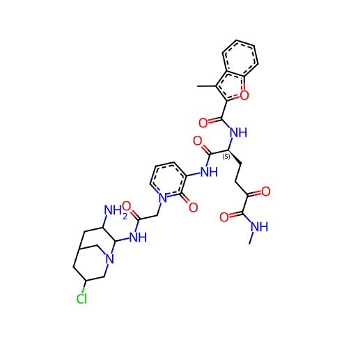 CNC(=O)C(=O)CC[C@H](NC(=O)c1oc2ccccc2c1C)C(=O)Nc1cccn(CC(=O)NC2C(N)CC3CC(Cl)CN2C3)c1=O